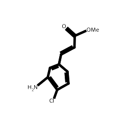 COC(=O)/C=C/c1ccc(Cl)c(N)c1